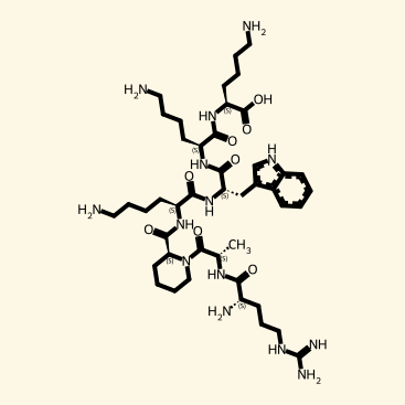 C[C@H](NC(=O)[C@@H](N)CCCNC(=N)N)C(=O)N1CCCC[C@H]1C(=O)N[C@@H](CCCCN)C(=O)N[C@@H](Cc1c[nH]c2ccccc12)C(=O)N[C@@H](CCCCN)C(=O)N[C@@H](CCCCN)C(=O)O